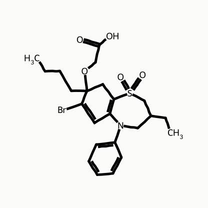 CCCCC1(OCC(=O)O)CC2=C(C=C1Br)N(c1ccccc1)CC(CC)CS2(=O)=O